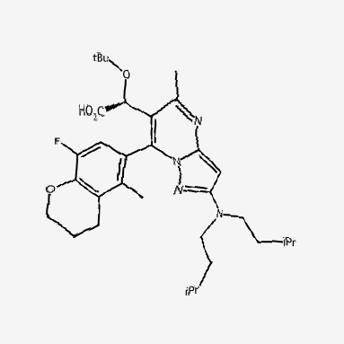 Cc1nc2cc(N(CCC(C)C)CCC(C)C)nn2c(-c2cc(F)c3c(c2C)CCCO3)c1[C@H](OC(C)(C)C)C(=O)O